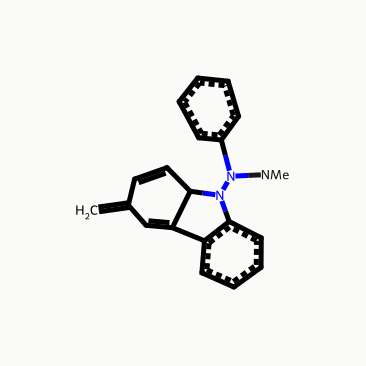 C=C1C=CC2C(=C1)c1ccccc1N2N(NC)c1ccccc1